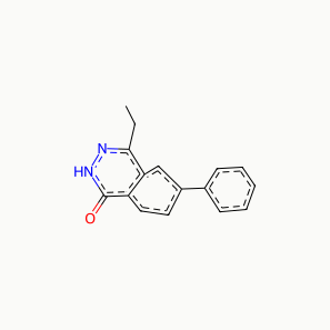 CCc1n[nH]c(=O)c2ccc(-c3ccccc3)cc12